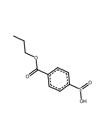 CCCOC(=O)c1ccc(S(=O)O)cc1